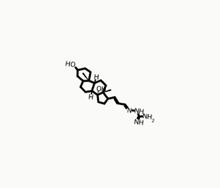 C[C@]12CCC(O)CC1CC[C@@H]1[C@H]2CC[C@]2(C)C(C=C/C=N/NC(=N)N)CC[C@@]12O